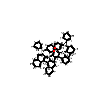 c1ccc(N(c2ccccc2)c2cc3ccccc3c3c4c5ccccc5cc5c6c7c8cccc9c%10cccc(N(c%11ccccc%11)c%11ccccc%11)c%10n(c7ncc6n(c23)c54)c98)cc1